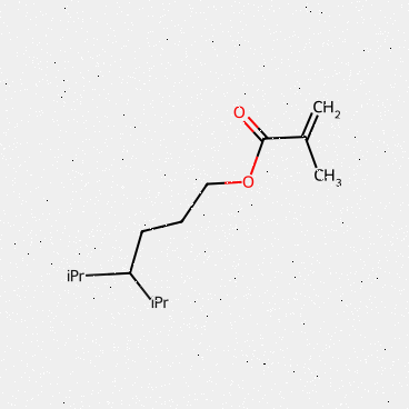 C=C(C)C(=O)OCCCC(C(C)C)C(C)C